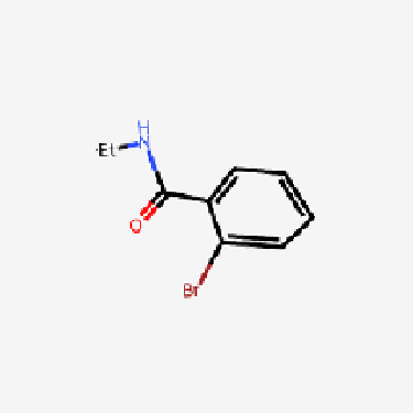 C[CH]NC(=O)c1ccccc1Br